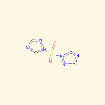 O=S(=O)(n1cncn1)n1cncn1